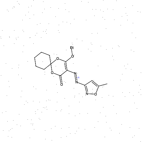 CCOC1=C(/N=N/c2cc(C)on2)C(=O)OC2(CCCCC2)O1